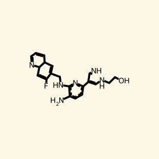 N=C/C(=C\NCCO)c1ccc(N)c(NCC2=CC3C=CC=NC3C=C2F)n1